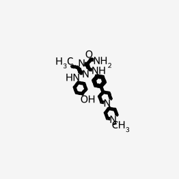 CCc1nc(C(N)=O)c(Nc2ccc(C3CCN(C4CCN(C)CC4)CC3)cc2)nc1N[C@H]1CC[C@H](O)CC1